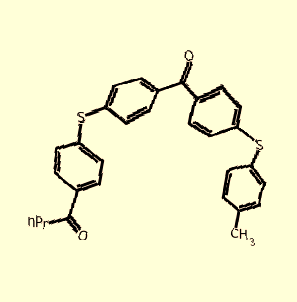 CCCC(=O)c1ccc(Sc2ccc(C(=O)c3ccc(Sc4ccc(C)cc4)cc3)cc2)cc1